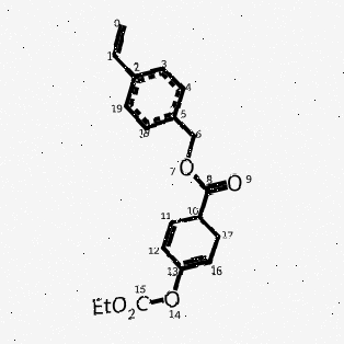 C=Cc1ccc(COC(=O)C2C=CC(OC(=O)OCC)=CC2)cc1